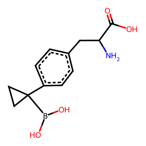 NC(Cc1ccc(C2(B(O)O)CC2)cc1)C(=O)O